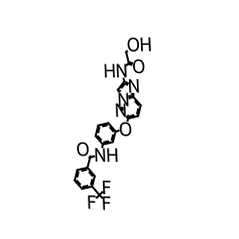 O=C(CO)Nc1cn2nc(Oc3cccc(NC(=O)c4cccc(C(F)(F)F)c4)c3)ccc2n1